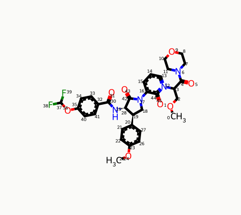 COCC(C(=O)N1CCOCC1)n1cccc(N2C[C@@H](c3ccc(OC)cc3)[C@H](NC(=O)c3ccc(OC(F)F)cc3)C2=O)c1=O